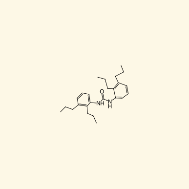 CCCc1cccc(NC(=O)Nc2cccc(CCC)c2CCC)c1CCC